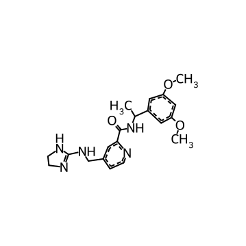 COc1cc(OC)cc(C(C)NC(=O)c2cc(CNC3=NCCN3)ccn2)c1